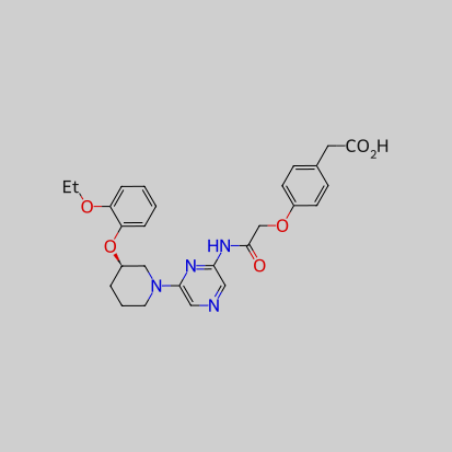 CCOc1ccccc1O[C@@H]1CCCN(c2cncc(NC(=O)COc3ccc(CC(=O)O)cc3)n2)C1